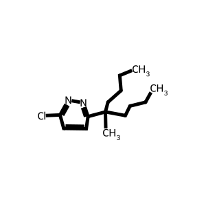 CCCCC(C)(CCCC)c1ccc(Cl)nn1